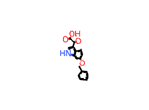 O=C(O)C(=O)c1c[nH]c2cc(OCc3ccccc3)ccc12